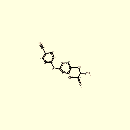 CC(Oc1ccc(Oc2ccc(C#N)cc2)cc1)C(=O)Cl